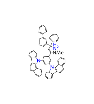 CN/C(=C\C(N)(c1ccccc1)c1cccc(-c2ccccc2)c1)c1cc(-n2c3ccccc3c3ccc4c(c32)CCC=C4)cc(-n2c3ccccc3c3ccc4ccccc4c32)c1